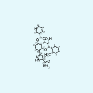 Cc1ccccc1C(CCC(=O)O)Oc1cc(OCc2cccnc2)ccc1-c1cc(C(N)=O)[nH]n1